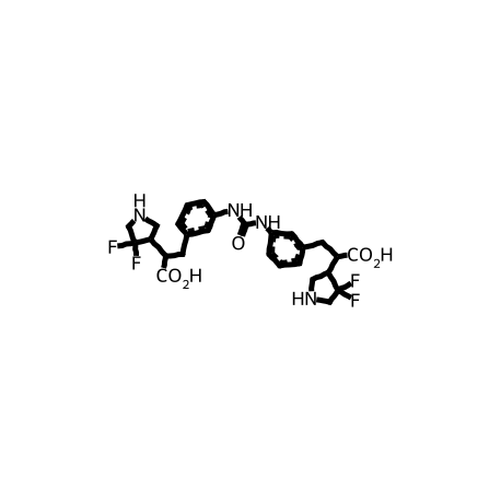 O=C(Nc1cccc(CC(C(=O)O)C2CNCC2(F)F)c1)Nc1cccc(CC(C(=O)O)C2CNCC2(F)F)c1